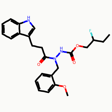 CCC(F)COC(=O)NN(Cc1ccccc1OC)C(=O)CCc1c[nH]c2ccccc12